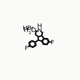 Br.Fc1ccc(C2c3ccc(F)cc3C3CNCCC32)cc1.O